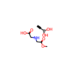 C#CB(O)O.COC(=O)CNCC(=O)O